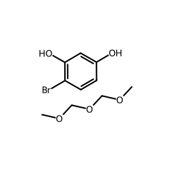 COCOCOC.Oc1ccc(Br)c(O)c1